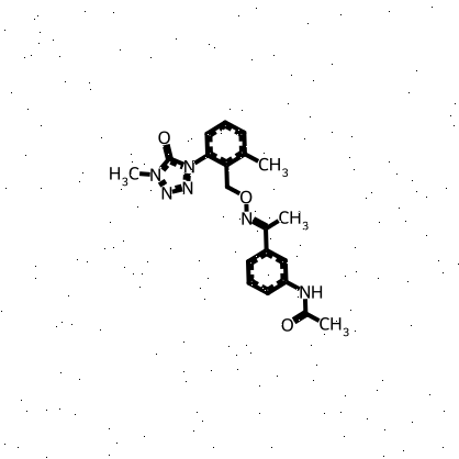 CC(=O)Nc1cccc(C(C)=NOCc2c(C)cccc2-n2nnn(C)c2=O)c1